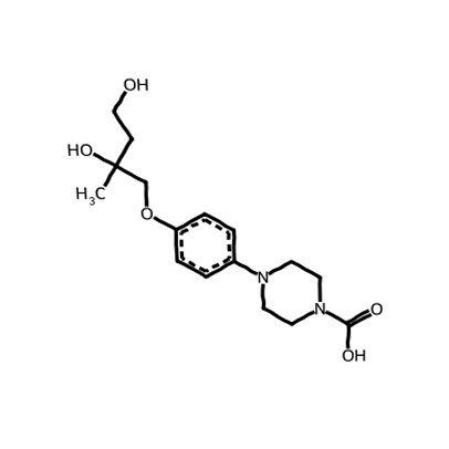 CC(O)(CCO)COc1ccc(N2CCN(C(=O)O)CC2)cc1